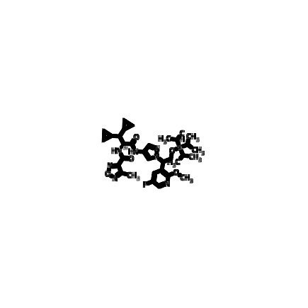 COc1ncc(F)cc1C(CO[Si](C(C)C)(C(C)C)C(C)C)n1cc(NC(=O)[C@@H](NC(=O)c2nonc2C)C(C2CC2)C2CC2)cn1